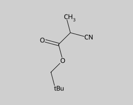 CC(C#N)C(=O)OCC(C)(C)C